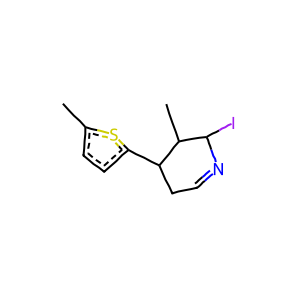 Cc1ccc(C2CC=NC(I)C2C)s1